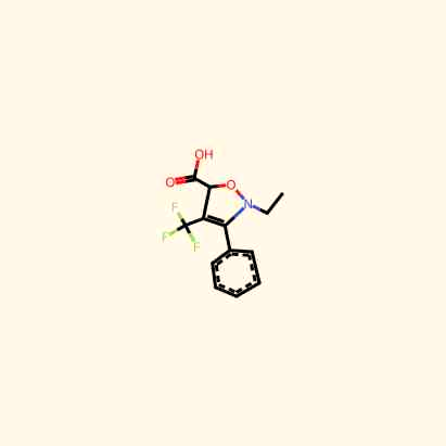 CCN1OC(C(=O)O)C(C(F)(F)F)=C1c1ccccc1